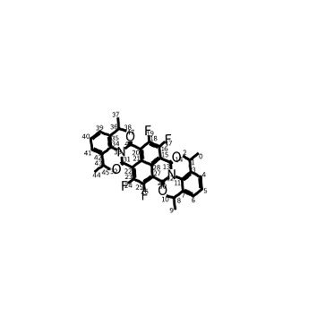 CC(C)c1cccc(C(C)C)c1N1C(=O)c2c(F)c(F)c3c4c(c(F)c(F)c(c24)C1=O)C(=O)N(c1c(C(C)C)cccc1C(C)C)C3=O